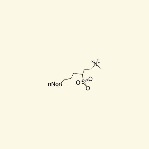 CCCCCCCCCCCCC(CC[N+](C)(C)C)S(=O)(=O)[O-]